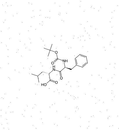 CC(C)C[C@H](NC(=O)[C@H](Cc1ccccc1)NC(=O)OC(C)(C)C)C(=O)O